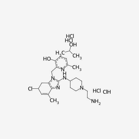 CC(C)O.CC1=CC(Cl)Cc2c1nc(NC1CCN(CCN)CC1)n2Cc1nc(C)ccc1O.Cl.Cl.Cl.Cl